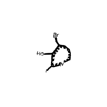 Oc1c(Br)ccnc1I